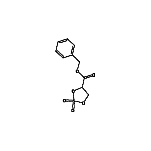 O=C(OCc1ccccc1)C1COS(=O)(=O)O1